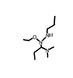 CCCNN(OCC)C(CC)N(C)C